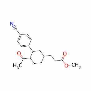 COC(=O)CCC1CCC(C(C)=O)C(c2ccc(C#N)cc2)C1